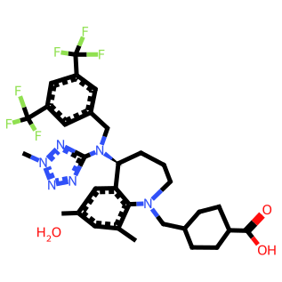 Cc1cc(C)c2c(c1)[C@@H](N(Cc1cc(C(F)(F)F)cc(C(F)(F)F)c1)c1nnn(C)n1)CCCN2CC1CCC(C(=O)O)CC1.O